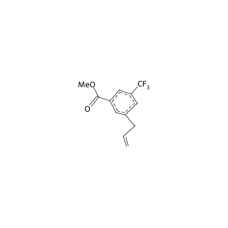 C=CCc1cc(C(=O)OC)cc(C(F)(F)F)c1